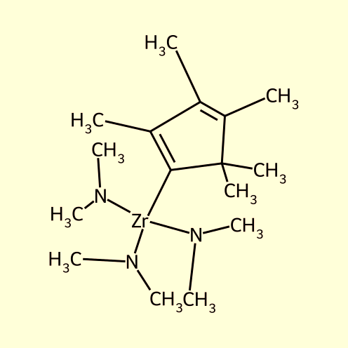 CC1=C(C)C(C)(C)[C]([Zr]([N](C)C)([N](C)C)[N](C)C)=C1C